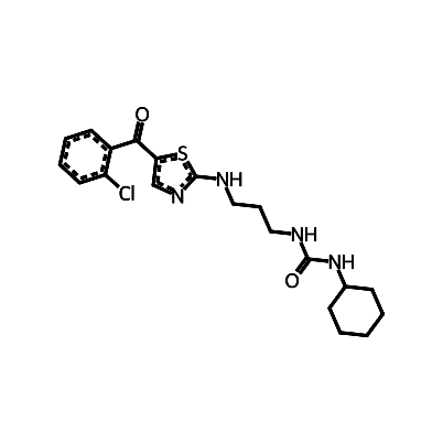 O=C(NCCCNc1ncc(C(=O)c2ccccc2Cl)s1)NC1CCCCC1